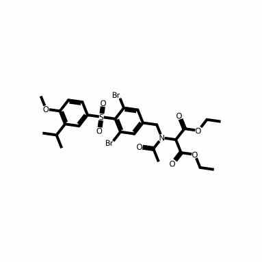 CCOC(=O)C(C(=O)OCC)N(Cc1cc(Br)c(S(=O)(=O)c2ccc(OC)c(C(C)C)c2)c(Br)c1)C(C)=O